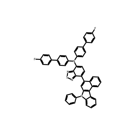 Fc1ccc(-c2ccc(N(c3ccc(-c4ccc(F)cc4)cc3)c3ccc(-c4cc5c(c6ccccc46)c4ccccc4n5-c4ccccc4)c4nsnc34)cc2)cc1